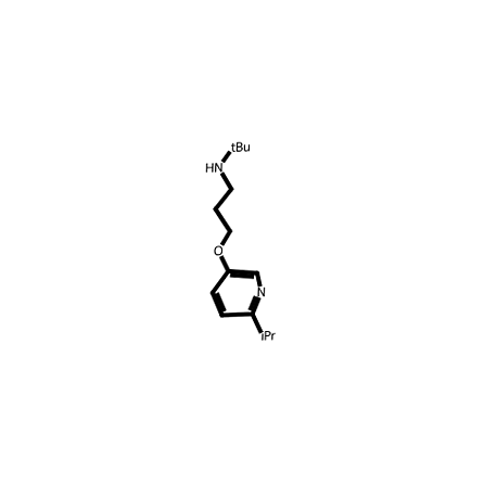 CC(C)c1ccc(OCCCNC(C)(C)C)cn1